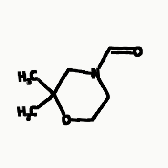 CC1(C)CN(C=O)CCO1